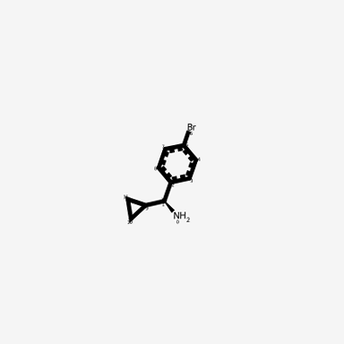 N[C@H](c1ccc(Br)cc1)C1CC1